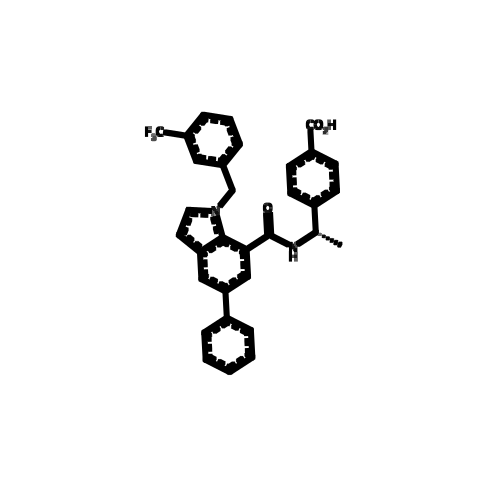 C[C@H](NC(=O)c1cc(-c2ccccc2)cc2ccn(Cc3cccc(C(F)(F)F)c3)c12)c1ccc(C(=O)O)cc1